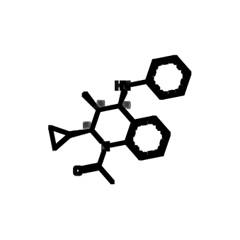 CC(=O)N1c2ccccc2[C@H](Nc2ccccc2)[C@H](C)[C@@H]1C1CC1